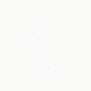 CCC/C=C(\N)S/N=C(C)/C(=N/OC(C)(C)C(=O)O)C(=O)N[C@@H]1C(=O)N2C(C(=O)O)=C(CN3C=C(NCCNC(=O)c4cc(=O)c(O)cn4O)C(N)=NC3)CSC12